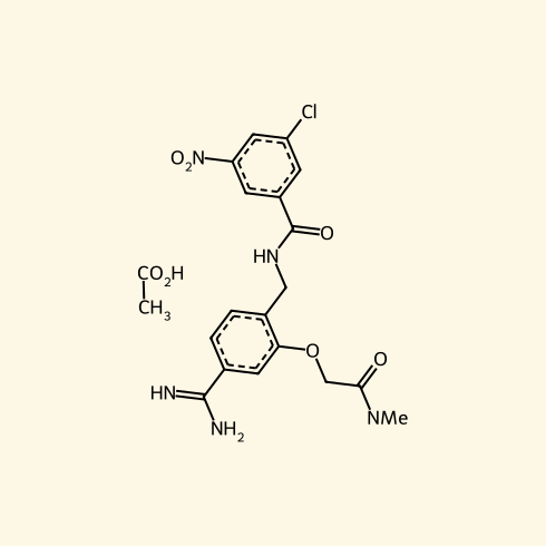 CC(=O)O.CNC(=O)COc1cc(C(=N)N)ccc1CNC(=O)c1cc(Cl)cc([N+](=O)[O-])c1